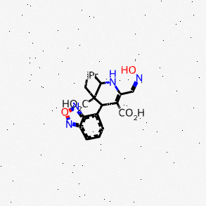 CC(C)CC1(C(=O)O)C(C)NC(/C=N\O)=C(C(=O)O)C1c1cccc2nonc12